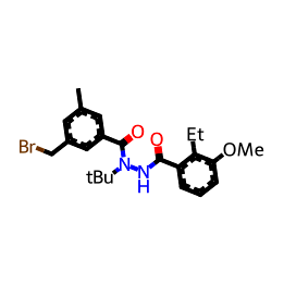 CCc1c(OC)cccc1C(=O)NN(C(=O)c1cc(C)cc(CBr)c1)C(C)(C)C